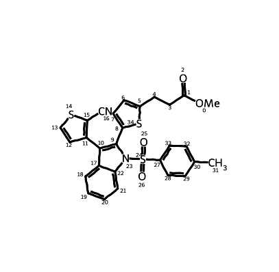 COC(=O)CCc1ccc(-c2c(-c3ccsc3C#N)c3ccccc3n2S(=O)(=O)c2ccc(C)cc2)s1